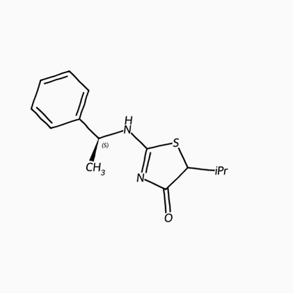 CC(C)C1SC(N[C@@H](C)c2ccccc2)=NC1=O